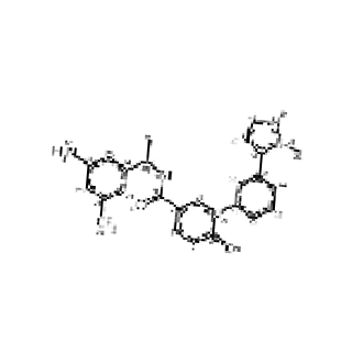 C[C@@H](NC(=O)c1ccc(=O)n(-c2cccc(-c3ncnn3C)c2)c1)c1cc(N)cc(C(F)(F)F)c1